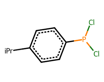 CC(C)c1ccc(P(Cl)Cl)cc1